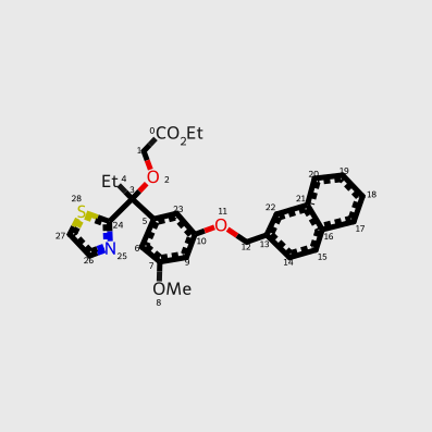 CCOC(=O)COC(CC)(c1cc(OC)cc(OCc2ccc3ccccc3c2)c1)c1nccs1